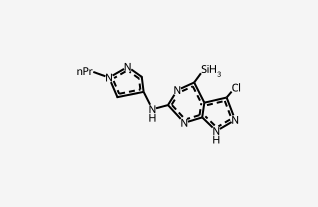 CCCn1cc(Nc2nc([SiH3])c3c(Cl)n[nH]c3n2)cn1